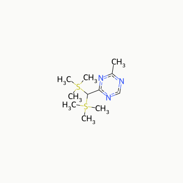 Cc1ncnc(C(S(C)(C)C)S(C)(C)C)n1